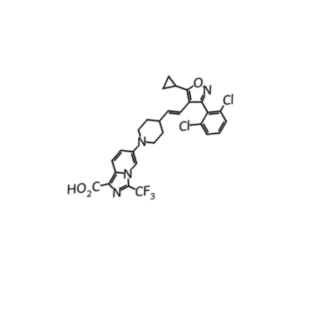 O=C(O)c1nc(C(F)(F)F)n2cc(N3CCC(C=Cc4c(-c5c(Cl)cccc5Cl)noc4C4CC4)CC3)ccc12